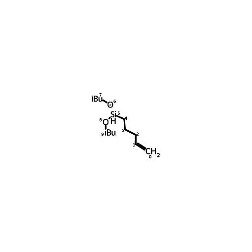 C=CCCC[SiH](OC(C)CC)OC(C)CC